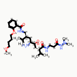 COCCCCOc1ccccc1C(=O)NC[C@@H](C[C@H](N)[C@@H](O)C[C@H](C(=O)NCCC(=O)NN(C)C)C(C)C)C(C)C